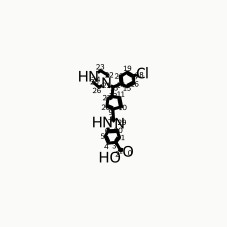 O=C(O)c1ccc2[nH]c(-c3ccc(C(c4ccc(Cl)cc4)N4CCNCC4)cc3)nc2c1